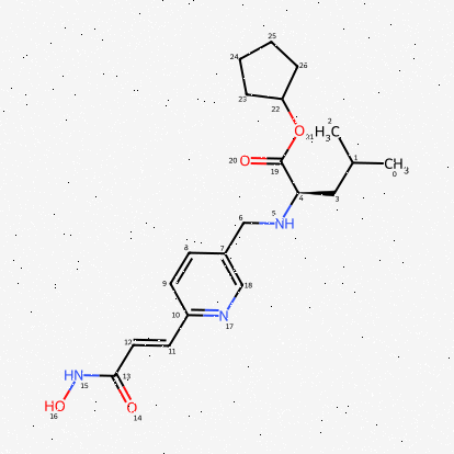 CC(C)C[C@@H](NCc1ccc(/C=C/C(=O)NO)nc1)C(=O)OC1CCCC1